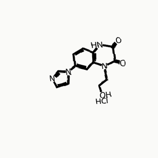 Cl.O=c1[nH]c2ccc(-n3ccnc3)cc2n(CCO)c1=O